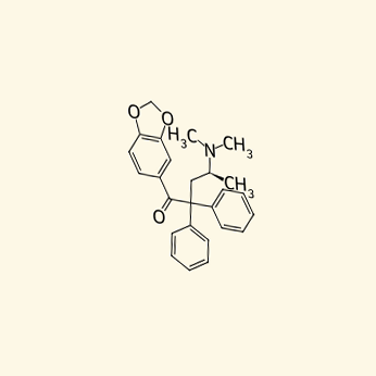 C[C@@H](CC(C(=O)c1ccc2c(c1)OCO2)(c1ccccc1)c1ccccc1)N(C)C